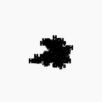 CC[C@H](C)[C@H](NC(=O)[C@H](Cc1ccccc1)NC(=O)[C@H](Cc1ccccc1)NC(=O)[C@@H]1CCCN1C(=O)[C@@H](N)Cc1ccc(O)cc1)C(=O)N[C@@H](CO)C(=O)N[C@@H](Cc1ccc(O)cc1)C(=O)NCC(=O)NCC(=O)N[C@@H](C)C(=O)N[C@@H](CC(=O)O)C(=O)N[C@@H](Cc1ccc(O)cc1)C(=O)N[C@@H](CCCCN)C(=O)O